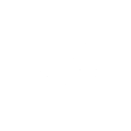 C(OCC1CO1)C1CO1.Oc1ccccc1-c1ccc(-c2c(O)ccc(C(F)(F)F)c2-c2ccccc2)cc1